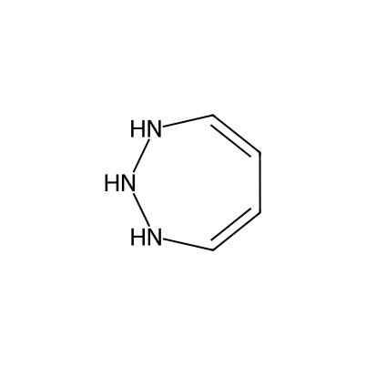 c1cc[nH][nH][nH]c1